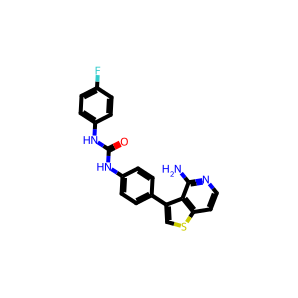 Nc1nccc2scc(-c3ccc(NC(=O)Nc4ccc(F)cc4)cc3)c12